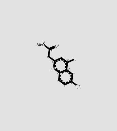 CCc1ccc2nc(CC(=O)OC)cc(C)c2c1